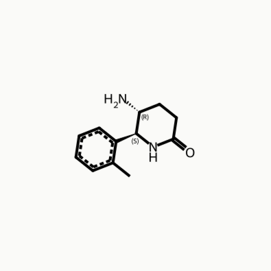 Cc1ccccc1[C@@H]1NC(=O)CC[C@H]1N